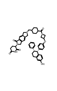 O=C1CCC(N2Cc3cc4c(cc3C2=O)CN(CC2CCC(C(=O)N3CC(Oc5ccc([C@@H]6c7ccc(O)cc7CC[C@@H]6c6ccccc6)cc5)C3)CC2)C4)C(=O)N1